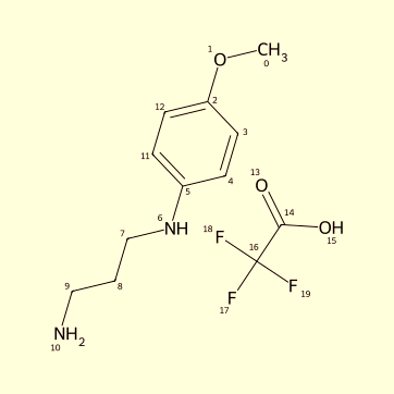 COc1ccc(NCCCN)cc1.O=C(O)C(F)(F)F